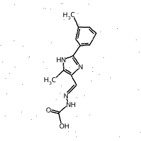 Cc1cccc(-c2nc(C=NNC(=O)O)c(C)[nH]2)c1